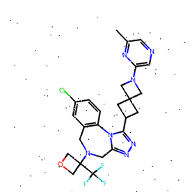 Cc1cncc(N2CC3(CC(c4nnc5n4-c4ccc(Cl)cc4CN(C4(C(F)(F)F)COC4)C5)C3)C2)n1